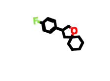 Fc1ccc(C2COC3(CCCCC3)C2)cc1